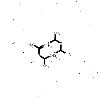 CC(=O)OC(C)C.CC(C)OC(C)C